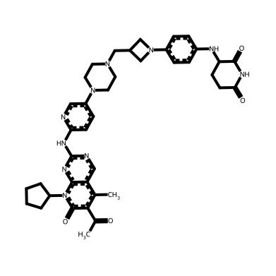 CC(=O)c1c(C)c2cnc(Nc3ccc(N4CCN(CC5CN(c6ccc(NC7CCC(=O)NC7=O)cc6)C5)CC4)cn3)nc2n(C2CCCC2)c1=O